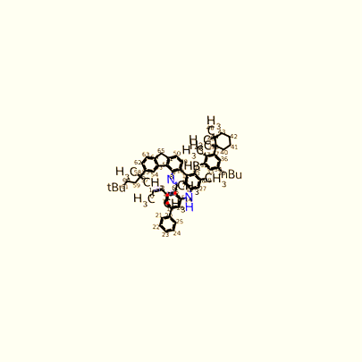 C\C=C/C(C)=C\C(C)=N\c1c(-c2cc(Nc3cccc(-c4ccccc4)c3)cc(C)c2Bc2cc(CCCC)cc(C3(C)CCCCC3(C)C)c2C)ccc2c1-c1cc(C(C)(C)CCC(C)(C)C)ccc1C2